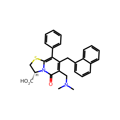 CN(C)Cc1c(Cc2cccc3ccccc23)c(-c2ccccc2)c2n(c1=O)[C@H](C(=O)O)CS2